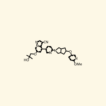 COc1ccc(OC2CC3CN(c4ccc(-c5cc(OCC(C)(C)O)cn6ncc(C#N)c56)cn4)CC3C2)cn1